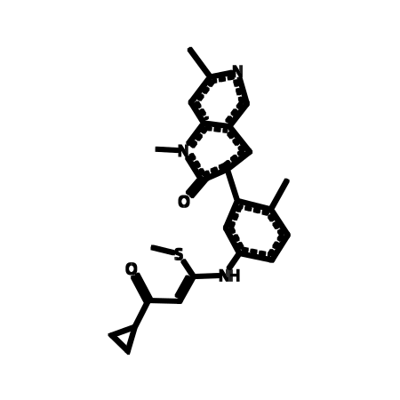 CS/C(=C\C(=O)C1CC1)Nc1ccc(C)c(-c2cc3cnc(C)cc3n(C)c2=O)c1